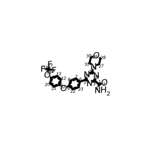 NC(=O)c1nc(-c2ccc(Oc3ccc(OC(F)(F)F)cc3)cc2)nc(N2CCOCC2)n1